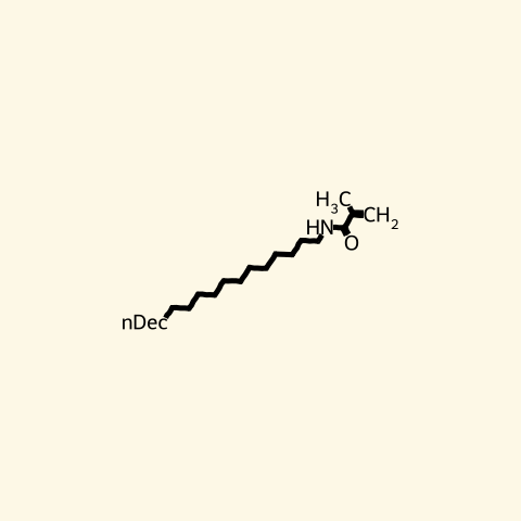 C=C(C)C(=O)NCCCCCCCCCCCCCCCCCCCCCC